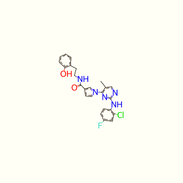 Cc1cnc(Nc2ccc(F)cc2Cl)nc1-n1ccc(C(=O)NCCc2ccccc2O)c1